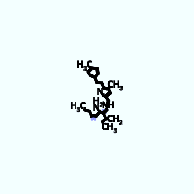 C=C(CC)/C(=C/NCc1cnc(CCc2ccc(C)cc2)c(C)c1)C(N)/C=C\CCC